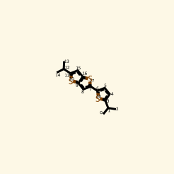 CC(C)c1ccc(-c2cc3sc(C(C)C)cc3s2)s1